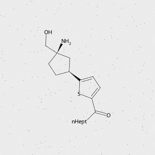 CCCCCCCC(=O)c1ccc([C@H]2CC[C@](N)(CO)C2)s1